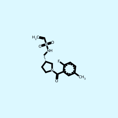 C=CS(=O)(=O)NC[C@H]1CCN(C(=O)c2cc(C)ccc2F)C1